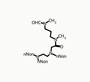 CCCCCCCCCN(CCCCCCCCC)CCN(CCCCCCCCC)CC(=O)N(C)CCCN(C)C=O